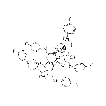 CCc1ccc(OCCC(OC(=O)C(=O)OC(CCOc2ccc(CC)cc2)(C(O)C2CCN(c3ccc(F)cc3)CC2)C(O)C2CCN(c3ccc(F)cc3)CC2)(C(O)C2CCN(c3ccc(F)cc3)CC2)C(O)C2CCN(c3ccc(F)cc3)CC2)cc1